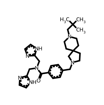 CC(C)(C)CN1CCC2(CC1)CCN(Cc1ccc(C(=O)N(Cc3ncc[nH]3)Cc3ncc[nH]3)cc1)C2